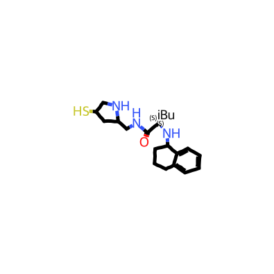 CC[C@H](C)[C@H](NC1CCCc2ccccc21)C(=O)NCC1CC(S)CN1